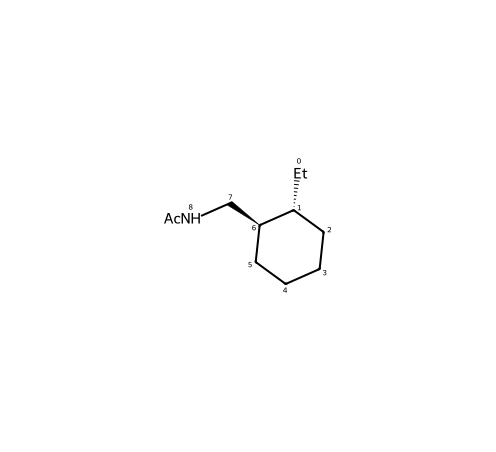 CC[C@@H]1CCCC[C@H]1CNC(C)=O